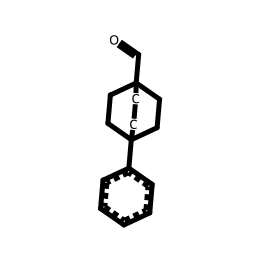 O=CC12CCC(c3ccccc3)(CC1)CC2